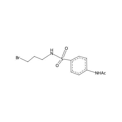 CC(=O)Nc1ccc(S(=O)(=O)NCCCBr)cc1